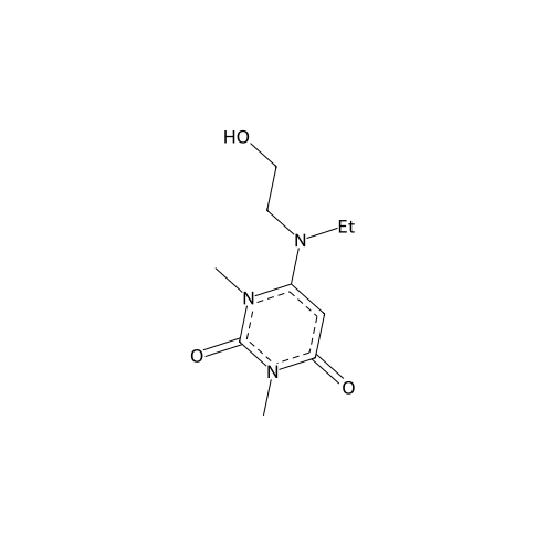 CCN(CCO)c1cc(=O)n(C)c(=O)n1C